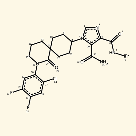 CC(C)NC(=O)c1ncn(C2CCC3(CCCN(c4cc(F)c(F)cc4Cl)C3=O)CC2)c1C(N)=O